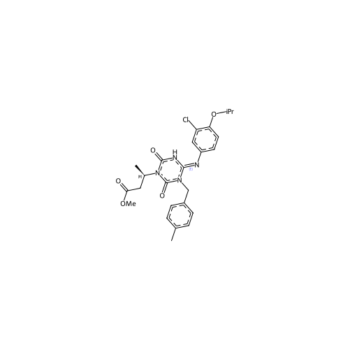 COC(=O)C[C@@H](C)n1c(=O)[nH]/c(=N\c2ccc(OC(C)C)c(Cl)c2)n(Cc2ccc(C)cc2)c1=O